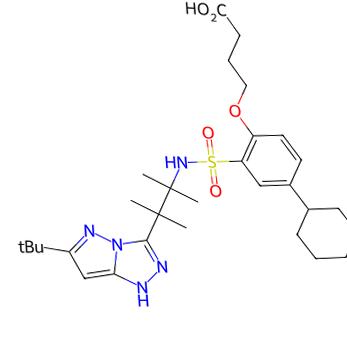 CC(C)(C)c1cc2[nH]nc(C(C)(C)C(C)(C)NS(=O)(=O)c3cc(C4CCCCC4)ccc3OCCCC(=O)O)n2n1